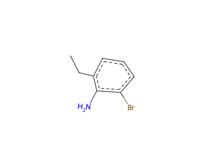 CCc1cccc(Br)c1N